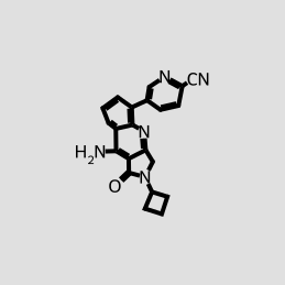 N#Cc1ccc(-c2cccc3c(N)c4c(nc23)CN(C2CCC2)C4=O)cn1